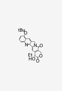 CC[C@@]1(O)C(=O)OCc2c1cc1n(c2=O)Cc2cc3c(OC(C)(C)C)cccc3nc2-1